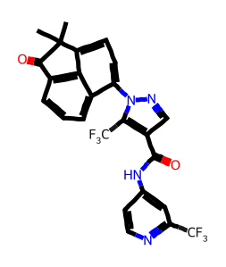 CC1(C)C(=O)c2cccc3c(-n4ncc(C(=O)Nc5ccnc(C(F)(F)F)c5)c4C(F)(F)F)ccc1c23